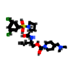 CN(C)CC1CCN(C(=O)OC[C@H](NC(=O)[C@H]2CCCN2S(=O)(=O)c2cc(Cl)cc(Cl)c2)C(=O)O)CC1